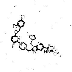 Fc1cc(Cl)ccc1COc1ccc(F)c(N2CCN(Cc3nc4cc(-c5nnc(C(F)(F)F)[nH]5)cnc4n3C[C@@H]3CCO3)CC2)n1